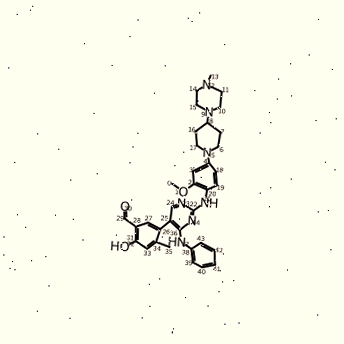 COc1cc(N2CCC(N3CCN(C)CC3)CC2)ccc1Nc1ncc(-c2cc(C=O)c(O)cc2C)c(Nc2ccccc2)n1